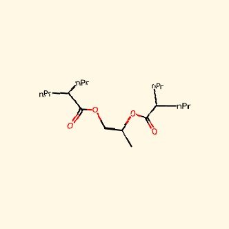 CCCC(CCC)C(=O)OCC(C)OC(=O)C(CCC)CCC